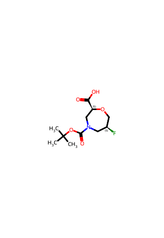 CC(C)(C)OC(=O)N1C[C@H](F)CO[C@H](C(=O)O)C1